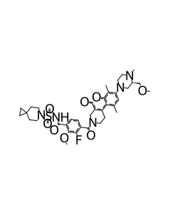 COC[C@H]1CN(c2cc(C)c3c4c(c(=O)oc3c2C)CN(C(=O)c2ccc(C(=O)NS(=O)(=O)N3CCC5(CC3)CC5)c(OC)c2F)CC4)CCN1C